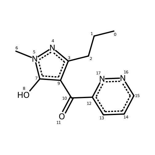 CCCc1nn(C)c(O)c1C(=O)c1cccnn1